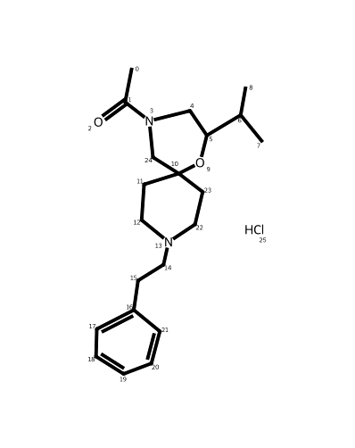 CC(=O)N1CC(C(C)C)OC2(CCN(CCc3ccccc3)CC2)C1.Cl